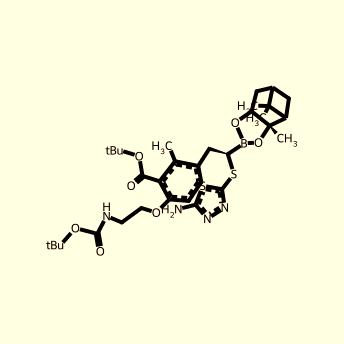 Cc1c(C[C@H](Sc2nnc(N)s2)B2OC3CC4CC(C4(C)C)[C@]3(C)O2)ccc(OCCNC(=O)OC(C)(C)C)c1C(=O)OC(C)(C)C